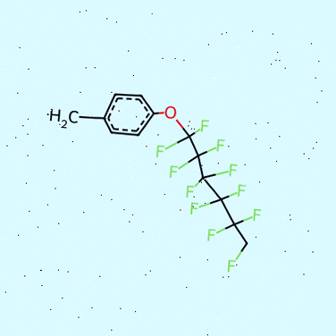 [CH2]c1ccc(OC(F)(F)C(F)(F)C(F)(F)C(F)(F)C(F)(F)CF)cc1